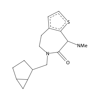 CNC1C(=O)N(CC2CCC3CC32)CCc2ccsc21